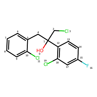 OC(CCl)(Cc1ccccc1Cl)c1ccc(F)cc1Cl